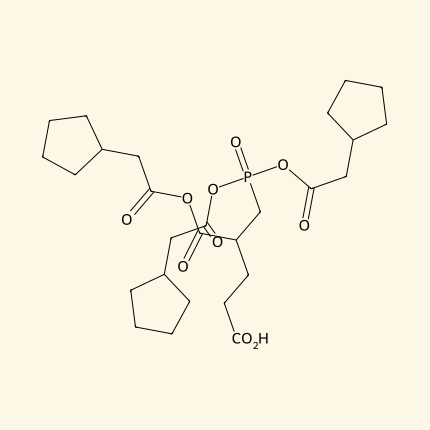 O=C(O)CCC(CP(=O)(OC(=O)CC1CCCC1)OC(=O)CC1CCCC1)C(=O)OC(=O)CC1CCCC1